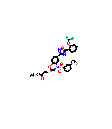 COC(=O)CC[C@H]1CN(S(=O)(=O)c2cccc(C(F)(F)F)c2)c2cc(-c3noc(-c4ccccc4OC(F)F)n3)ccc2O1